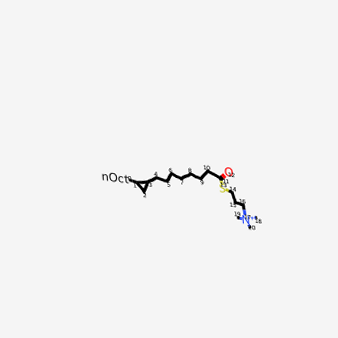 CCCCCCCCC1CC1CCCCCCCC(=O)SCCC[N+](C)(C)C